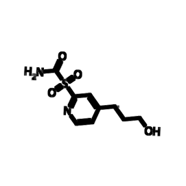 NC(=O)S(=O)(=O)c1cc([CH]CCO)ccn1